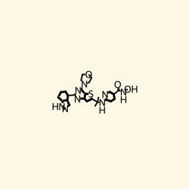 CC(C)(Nc1ccc(C(=O)NO)cn1)c1cc2nc(-c3cccc4[nH]ncc34)nc(N3CCOCC3)c2s1